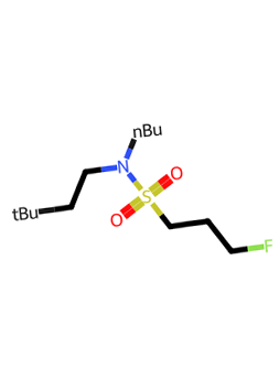 CCCCN(CCC(C)(C)C)S(=O)(=O)CCCF